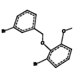 COc1cccc(Br)c1OCc1cccc(Br)c1